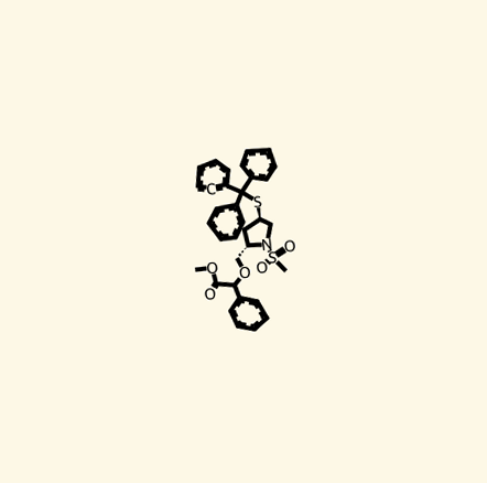 COC(=O)C(OC[C@@H]1C[C@@H](SC(c2ccccc2)(c2ccccc2)c2ccccc2)CN1S(C)(=O)=O)c1ccccc1